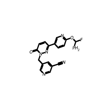 N#Cc1cncc(Cn2nc(-c3ccc(OC(F)P)nc3)ccc2=O)c1